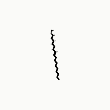 CCCCCCCCC/C=C/CCCCCCOC